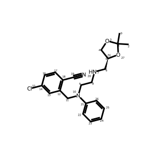 CC1(C)OC[C@H](CNCCN(Cc2cc(Cl)ccc2C#N)c2ccccc2)O1